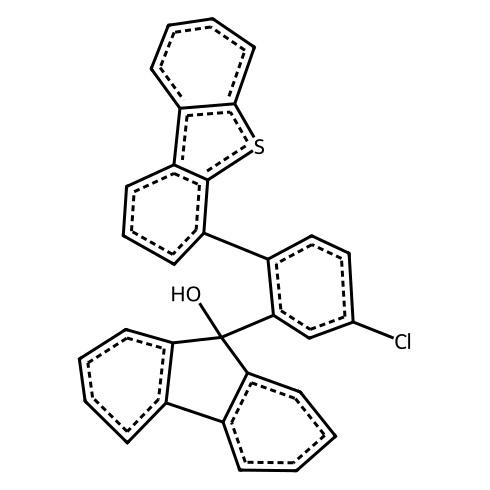 OC1(c2cc(Cl)ccc2-c2cccc3c2sc2ccccc23)c2ccccc2-c2ccccc21